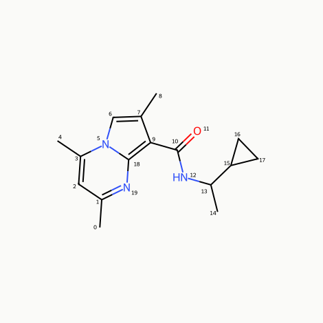 Cc1cc(C)n2cc(C)c(C(=O)NC(C)C3CC3)c2n1